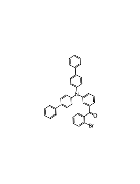 O=C(c1cccc(N(c2ccc(-c3ccccc3)cc2)c2ccc(-c3ccccc3)cc2)c1)c1ccccc1Br